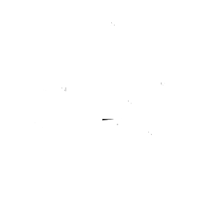 CCC(=O)Nc1cc([C@@H]2CN(CC(F)F)CCN2Cc2c(OC)cc(C)c3[nH]ccc23)ccc1C(=O)O